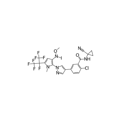 CON(I)c1cc(C(F)(C(F)(F)F)C(F)(F)F)n(C)c1-n1cc(-c2ccc(Cl)c(C(=O)NC3(C#N)CC3)c2)cn1